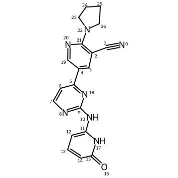 N#Cc1cc(-c2ccnc(Nc3cccc(=O)[nH]3)n2)cnc1N1CCCC1